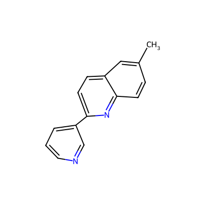 Cc1ccc2nc(-c3cccnc3)ccc2c1